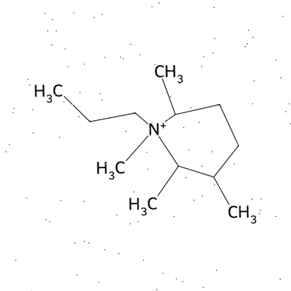 CCC[N+]1(C)C(C)CCC(C)C1C